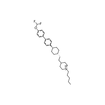 CCCCC[SiH]1CCC(CC[C@H]2CC[C@H](c3ccc(-c4ccc(OC(F)F)cc4)cc3)CC2)CC1